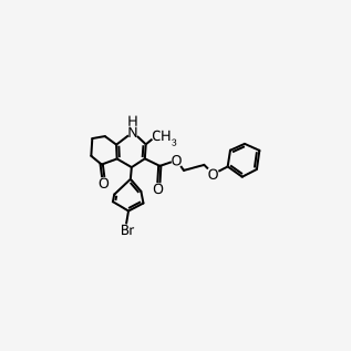 CC1=C(C(=O)OCCOc2ccccc2)C(c2ccc(Br)cc2)C2=C(CCCC2=O)N1